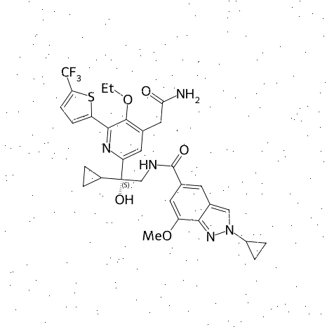 CCOc1c(CC(N)=O)cc([C@@](O)(CNC(=O)c2cc(OC)c3nn(C4CC4)cc3c2)C2CC2)nc1-c1ccc(C(F)(F)F)s1